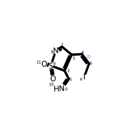 N=CC1=C(/C=C\I)C=NS1(=O)=O